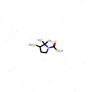 CCOC(=O)C1CCN(C(=O)C(=O)O)C1(C)C